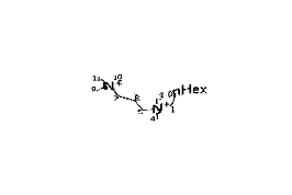 CCCCCCC[N+](C)(C)CCC[N+](C)(C)C